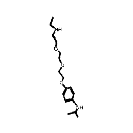 CCNCCOCCOCCOc1ccc(NC(C)C)cc1